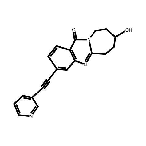 O=c1c2ccc(C#Cc3cccnc3)cc2nc2n1CCC(O)CC2